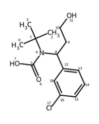 CC(C)(C)N(C(=O)O)C(CCO)c1cccc(Cl)c1